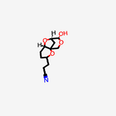 N#CCCC1CC[C@@H]2O[C@@H]3CC2(CO[C@H]3O)O1